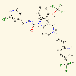 O=C(NCc1ccnc(Cl)c1)n1c2c(c3c(OC(F)(F)F)cccc31)CN(CC=Cc1ccc(C(F)(F)F)cn1)CC2